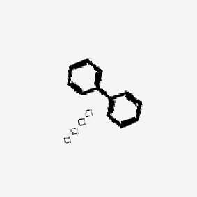 [C].[C].[C].[C].c1ccc(-c2ccccc2)cc1